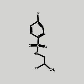 CC(O)CNS(=O)(=O)c1ccc(Br)cc1